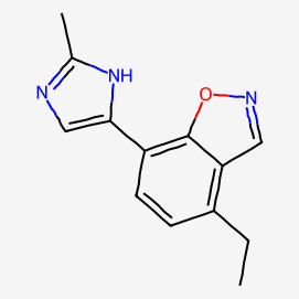 CCc1ccc(-c2cnc(C)[nH]2)c2oncc12